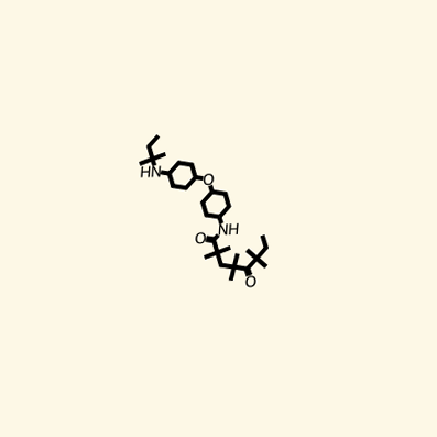 CCC(C)(C)NC1CCC(OC2CCC(NC(=O)C(C)(C)CC(C)(C)C(=O)C(C)(C)CC)CC2)CC1